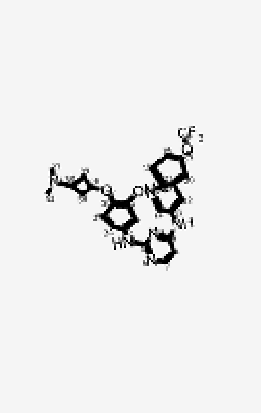 COc1cc(Nc2nccc(Nc3cnc4ccc(OC(F)(F)F)cc4c3)n2)ccc1OC1CC(N(C)C)C1